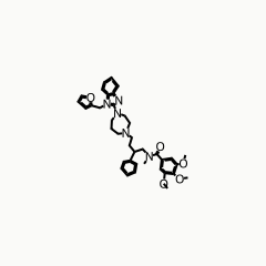 COc1cc(C(=O)N(C)CC(CCN2CCCN(c3nc4ccccc4n3Cc3ccco3)CC2)c2ccccc2)cc(OC)c1OC